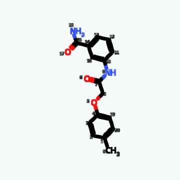 Cc1ccc(OCC(=O)Nc2cccc(C(N)=O)c2)cc1